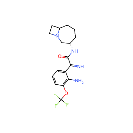 N=C(C(=O)N[C@H]1CCCC2CCN2C1)c1cccc(OC(F)(F)F)c1N